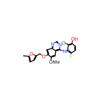 COc1cc2c(Nc3c(F)ccc(O)c3Cl)ncnc2cc1OCc1ccc(C)o1